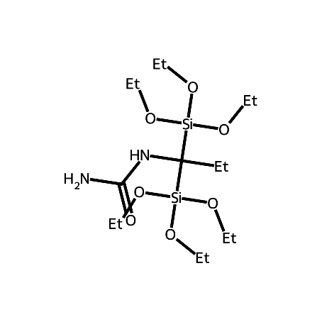 CCO[Si](OCC)(OCC)C(CC)(NC(N)=O)[Si](OCC)(OCC)OCC